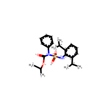 CC(C)OC(=O)N(c1ccccc1)S(=O)(=O)Nc1c(C(C)C)cccc1C(C)C